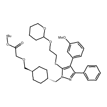 COc1cccc(-c2c(-c3ccccc3)nn(C[C@H]3CC[C@H](COCC(=O)OC(C)(C)C)CC3)c2SCCOC2CCCCO2)c1